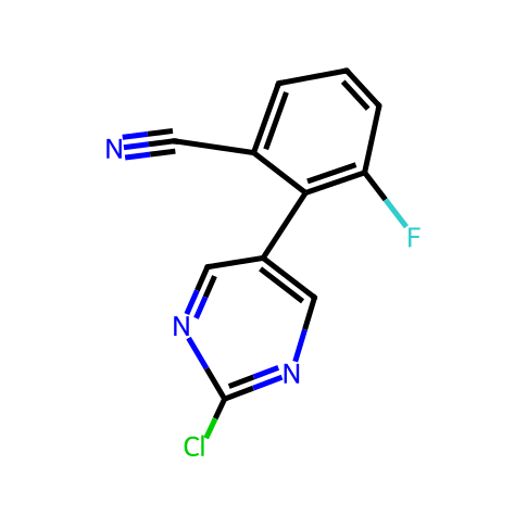 N#Cc1cccc(F)c1-c1cnc(Cl)nc1